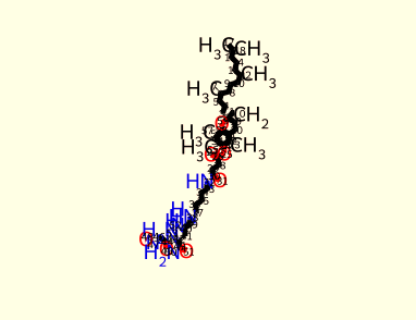 C=C[C@@]1(CCC[C@H](C)CCC[C@H](C)CCCC(C)C)CCc2c(C)c(OC(=O)CCC(=O)NCCCCCN/C=C(/C[C@H](NC(=O)CN=O)C(N)=O)NN)c(C)c(C)c2O1